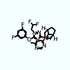 Cc1cc(N2C[C@H]3CC[C@@H](C2)C3Nc2nc(Oc3cc(F)cc(F)c3)n(CC(F)F)n2)ncn1